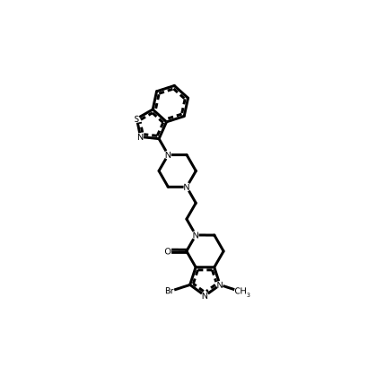 Cn1nc(Br)c2c1CCN(CCN1CCN(c3nsc4ccccc34)CC1)C2=O